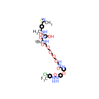 Cc1ncsc1-c1ccc(C(C)NC(=O)[C@@H]2C[C@@H](O)CN2C(=O)C(NC(=O)CCOCCOCCOCCOCCNC(=O)c2cc(Oc3ccc(NC(=O)Nc4ccc(Cl)c(C(F)(F)F)c4)cc3)ccn2)C(C)(C)C)cc1